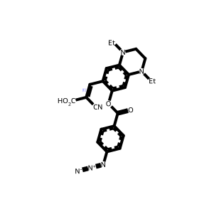 CCN1CCN(CC)c2cc(OC(=O)c3ccc(N=[N+]=[N-])cc3)c(/C=C(\C#N)C(=O)O)cc21